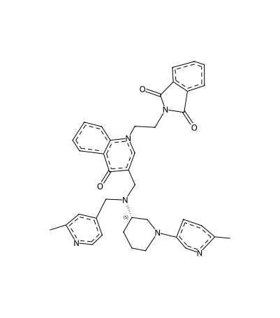 Cc1ccc(N2CCC[C@H](N(Cc3ccnc(C)c3)Cc3cn(CCN4C(=O)c5ccccc5C4=O)c4ccccc4c3=O)C2)cn1